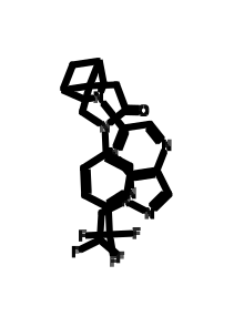 O=C1CC2(CN1c1ccc(C(F)(F)F)nc1)C1CC2CN(c2cnc3cnn(CC(F)F)c3n2)C1